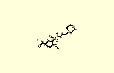 COc1ccc(C(=O)O)cc1S(=O)(=O)NCCCN1CCOCC1